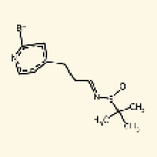 CC(C)(C)[S+]([O-])/N=C/CCc1ccnc(Br)c1